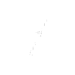 CCCCCCNC(=O)OCCCCCCN(C)C